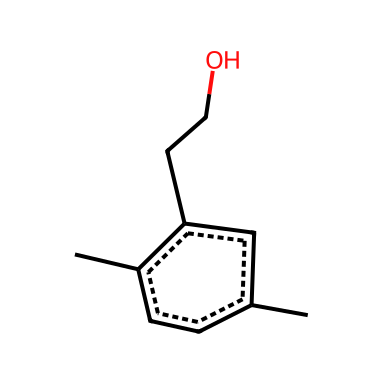 Cc1ccc(C)c(CCO)c1